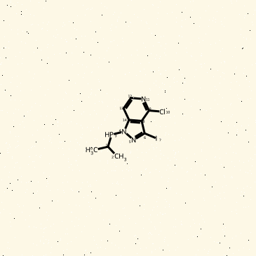 CC(C)Pn1nc(I)c2c(Cl)nccc21